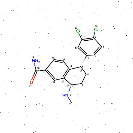 CN[C@H]1CC[C@@H](c2ccc(Cl)c(Cl)c2)c2ccc(C(N)=O)cc21